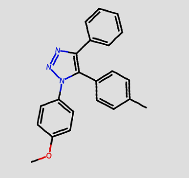 COc1ccc(-n2nnc(-c3ccccc3)c2-c2ccc(C)cc2)cc1